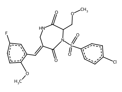 COCC1C(=O)NC/C(=C\c2cc(F)ccc2OC)C(=O)N1S(=O)(=O)c1ccc(Cl)cc1